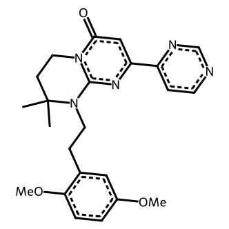 COc1ccc(OC)c(CCN2c3nc(-c4ccncn4)cc(=O)n3CCC2(C)C)c1